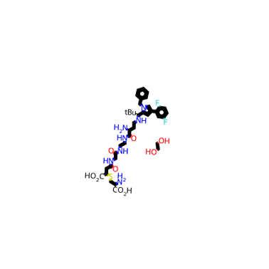 CC(C)(C)[C@@H](NCC[C@H](N)C(=O)NCCNC(=O)CNC(=O)CC(SC[C@H](N)C(=O)O)C(=O)O)c1cc(-c2cc(F)ccc2F)cn1Cc1ccccc1.OCCO